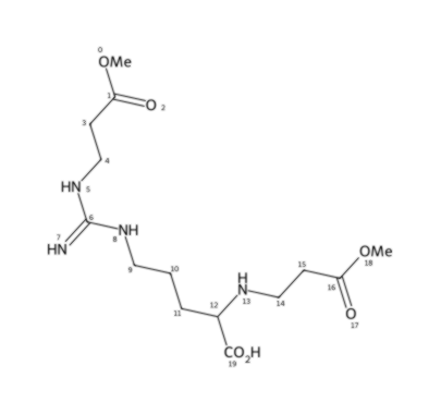 COC(=O)CCNC(=N)NCCCC(NCCC(=O)OC)C(=O)O